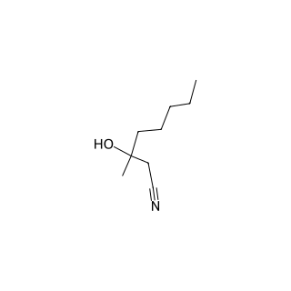 CCCCCC(C)(O)CC#N